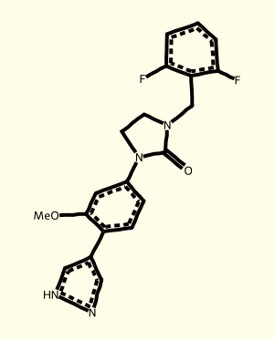 COc1cc(N2CCN(Cc3c(F)cccc3F)C2=O)ccc1-c1cn[nH]c1